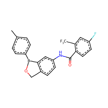 Cc1ccc(B2OCc3ccc(NC(=O)c4ccc(F)cc4C(F)(F)F)cc32)cc1